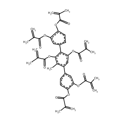 C=C(C)C(=O)Oc1ccc(-c2cc(OC(=O)C(=C)C)c(-c3ccc(OC(=O)C(=C)C)c(OC(=O)C(=C)C)c3)c(OC(=O)C(=C)C)c2C)cc1OC(=O)C(=C)C